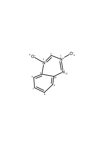 [O-][n+]1c[n+]([O-])c2ccccc2n1